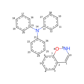 C1=Cc2ccccc2ON1.c1ccc(N(c2ccccc2)c2ccccc2)cc1